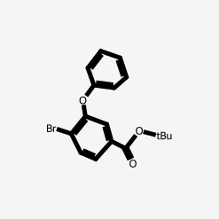 CC(C)(C)OC(=O)c1ccc(Br)c(Oc2ccccc2)c1